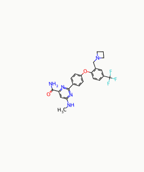 CNc1cc(C(N)=O)nc(-c2ccc(Oc3ccc(C(F)(F)F)cc3CN3CCC3)cc2)n1